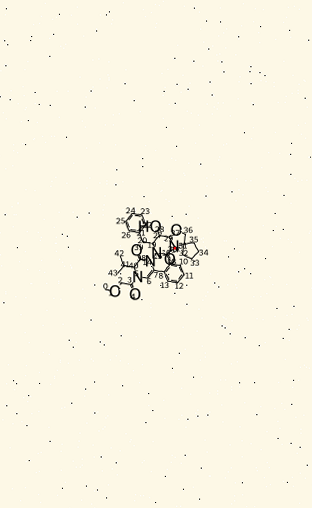 COCC(=O)N1C=C(c2ccccc2)N(N(C(C)=O)[C@@H](Cc2ccccc2)C(O)C2=NC3(CCCC3)CO2)C(=O)C1C(C)C